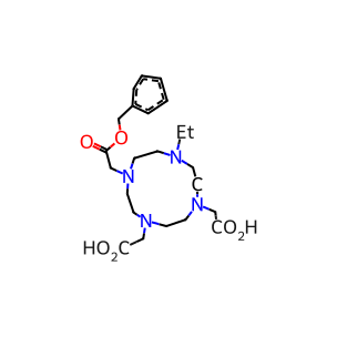 CCN1CCN(CC(=O)O)CCN(CC(=O)O)CCN(CC(=O)OCc2ccccc2)CC1